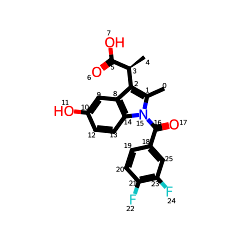 Cc1c([C@H](C)C(=O)O)c2cc(O)ccc2n1C(=O)c1ccc(F)c(F)c1